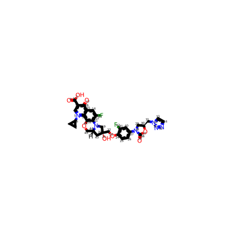 O=C(O)c1cn(C2CC2)c2c3c(c(F)cc2c1=O)N1C[C@@](O)(COc2ccc(N4C[C@@H](Cn5ccnn5)OC4=O)cc2F)C[C@@H]1CO3